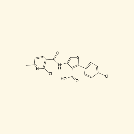 Cc1ccc(C(=O)Nc2csc(-c3ccc(Cl)cc3)c2C(=O)O)c(Cl)n1